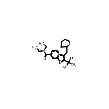 CCN(CC)C(=O)c1ccn2c(CC3CCCCO3)c(C(C)(C)C)nc2c1